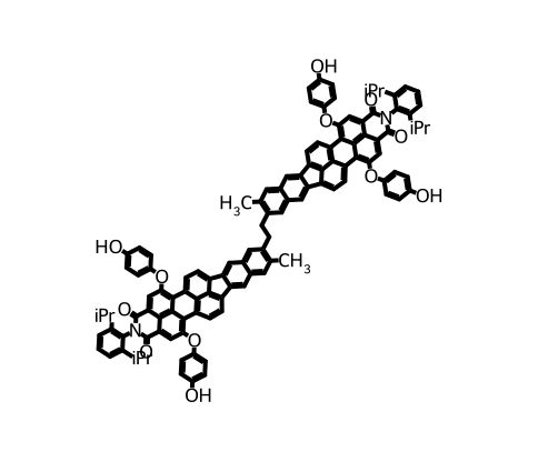 Cc1cc2cc3c(cc2cc1CCc1cc2cc4c(cc2cc1C)-c1ccc2c5c(Oc6ccc(O)cc6)cc6c7c(cc(Oc8ccc(O)cc8)c(c8ccc-4c1c28)c75)C(=O)N(c1c(C(C)C)cccc1C(C)C)C6=O)-c1ccc2c4c(Oc5ccc(O)cc5)cc5c6c(cc(Oc7ccc(O)cc7)c(c7ccc-3c1c72)c64)C(=O)N(c1c(C(C)C)cccc1C(C)C)C5=O